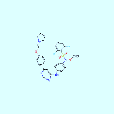 O=CON(c1ccc(Nc2cc(-c3ccc(OCCN4CCCC4)cc3)ncn2)cc1)S(=O)(=O)c1c(F)cccc1F